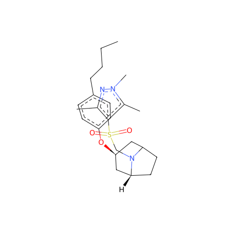 CCCCc1ccc(O[C@H]2CC3CC[C@H](C2)N3CS(=O)(=O)c2c(C)nn(C)c2C)cc1